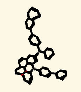 c1ccc(-c2ccc(N(c3ccccc3)c3cc(N(c4ccccc4)c4ccc(-c5ccc6ccccc6c5)cc4)cc4ccc5ccccc5c34)cc2)cc1